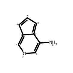 Nc1cocc2cccc1-2